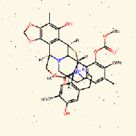 COc1cc2c(cc1O)CCN[C@]21CS[C@@H]2c3c(O)c(C)c4c(c3[C@H](COC1=O)N1C2[C@@H]2c3c(cc(C)c(OC)c3OC(=O)OC(C)(C)C)C[C@@H]([C@@H]1C#N)N2C)OCO4